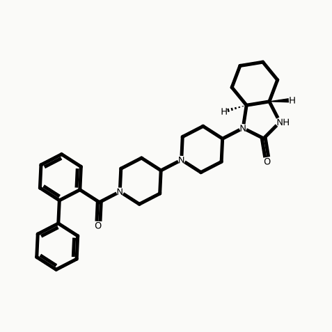 O=C(c1ccccc1-c1ccccc1)N1CCC(N2CCC(N3C(=O)N[C@H]4CCCC[C@@H]43)CC2)CC1